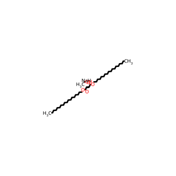 CCCCCCCCCCCCCCCCCCOC(=O)/C=C/C(=O)OCCCCCCCCCCCCCCCCCC.CCO.[NaH]